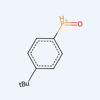 CC(C)(C)c1ccc([PH2]=O)cc1